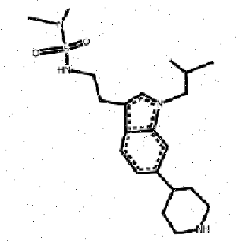 CC(C)Cn1cc(CCNS(=O)(=O)N(C)C)c2ccc(C3CCNCC3)cc21